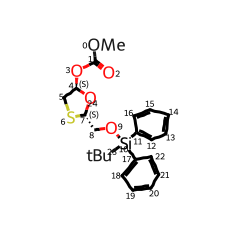 COC(=O)O[C@@H]1CS[C@@H](CO[Si](c2ccccc2)(c2ccccc2)C(C)(C)C)O1